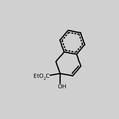 CCOC(=O)C1(O)C=Cc2ccccc2C1